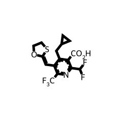 O=C(O)c1c(C(F)F)nc(C(F)(F)F)c(/C=C2/OCCS2)c1CC1CC1